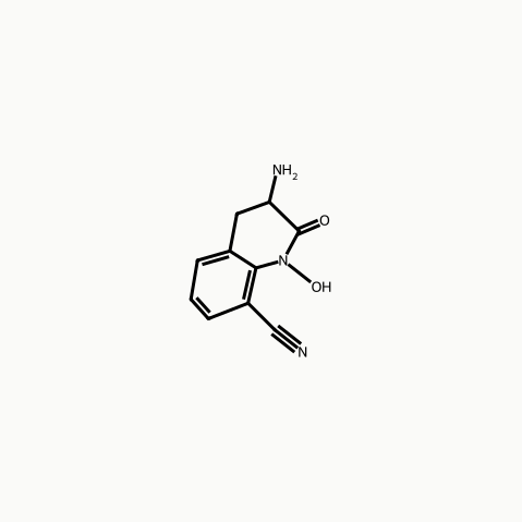 N#Cc1cccc2c1N(O)C(=O)C(N)C2